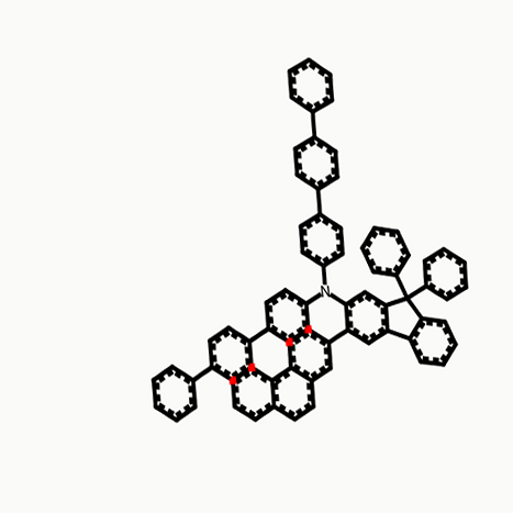 c1ccc(-c2ccc(-c3ccc(N(c4ccc(-c5ccc(-c6ccccc6)cc5)cc4)c4cc5c(cc4-c4ccc6c(ccc7ccccc76)c4)-c4ccccc4C5(c4ccccc4)c4ccccc4)cc3)cc2)cc1